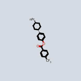 CCC[C@H]1CC[C@H](c2ccc(OC(=O)c3ccc(C(F)(F)F)cc3)cc2)CC1